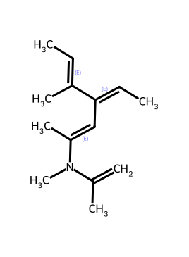 C=C(C)N(C)/C(C)=C/C(=C\C)C(/C)=C/C